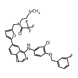 CSCCN(Cc1ccc(-c2ccc3ncnc(Nc4ccc(OCc5cccc(F)c5)c(Cl)c4)c3c2)o1)C(=O)C(F)(F)F